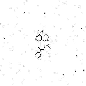 CC(CCc1c[nH]c2cnccc12)NC1CCn2c(=O)[nH]c3cccc(c32)C1O